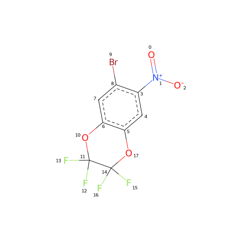 O=[N+]([O-])c1cc2c(cc1Br)OC(F)(F)C(F)(F)O2